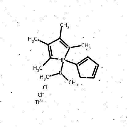 CB(C)[PH]1(C2=CC=CC2)C(C)=C(C)C(C)=C1C.[Cl-].[Cl-].[Ti+2]